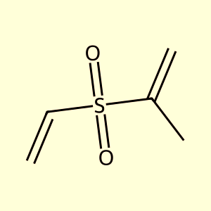 C=CS(=O)(=O)C(=C)C